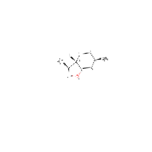 C[C@@H]1COC2=C[C@H](C)CC[C@H]21